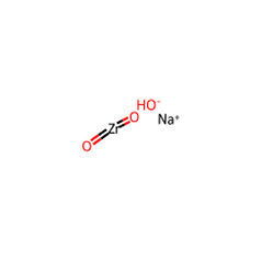 [Na+].[OH-].[O]=[Zr]=[O]